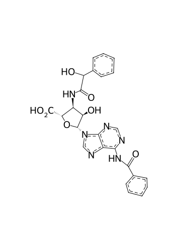 O=C(Nc1ncnc2c1ncn2[C@@H]1O[C@H](C(=O)O)[C@@H](NC(=O)C(O)c2ccccc2)[C@H]1O)c1ccccc1